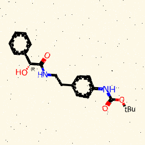 CC(C)(C)OC(=O)Nc1ccc(CCNC(=O)[C@H](O)c2ccccc2)cc1